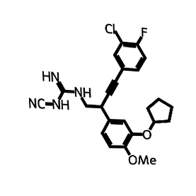 COc1ccc(C(C#Cc2ccc(F)c(Cl)c2)CNC(=N)NC#N)cc1OC1CCCC1